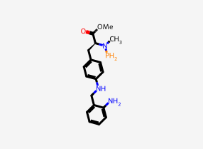 COC(=O)[C@H](Cc1ccc(NCc2ccccc2N)cc1)N(C)P